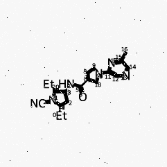 CC[C@H]1C[C@@H](NC(=O)[C@H]2CCN(c3cncc(C)n3)C2)[C@@H](CC)N1C#N